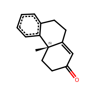 C[C@]12CCC(=O)C=C1CCc1ccccc12